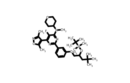 Cc1noc(C)c1-c1nc(-c2cccc(OCC([CH]C(C)(C)C)O[Si](C)(C)C(C)(C)C)c2)nc(N(C)C2CCOCC2)c1F